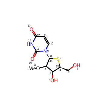 COC1C(O)[C@H](CO)S[C@H]1n1ccc(=O)[nH]c1=O